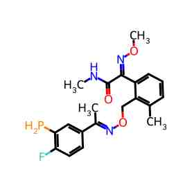 CNC(=O)/C(=N/OC)c1cccc(C)c1CO/N=C(\C)c1ccc(F)c(P)c1